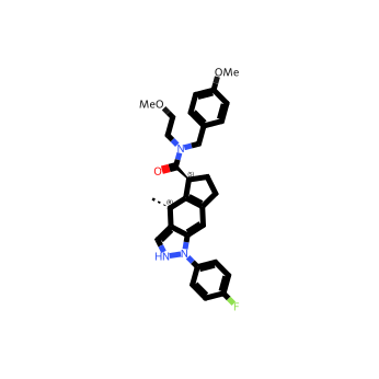 COCCN(Cc1ccc(OC)cc1)C(=O)[C@H]1CCC2=C1[C@@H](C)C1=CNN(c3ccc(F)cc3)C1=C2